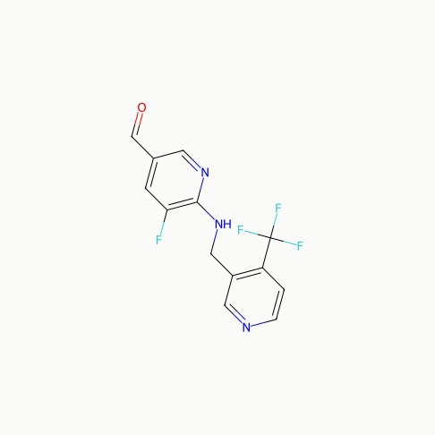 O=Cc1cnc(NCc2cnccc2C(F)(F)F)c(F)c1